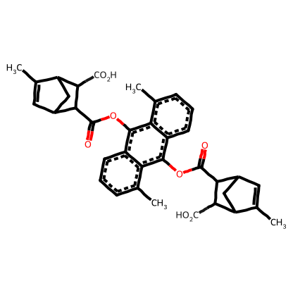 CC1=CC2CC1C(C(=O)O)C2C(=O)Oc1c2cccc(C)c2c(OC(=O)C2C3C=C(C)C(C3)C2C(=O)O)c2cccc(C)c12